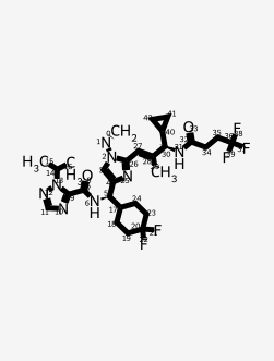 C=Nn1cc([C@@H](NC(=O)c2ncnn2C(C)C)C2CCC(F)(F)CC2)nc1/C=C(\C)[C@H](NC(=O)CCC(F)(F)F)C1CC1